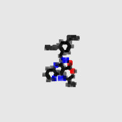 CCC[C@@H]1COC(=O)c2c(NCc3ccc(OC)cc3OC)nc3cccnc3c2N1